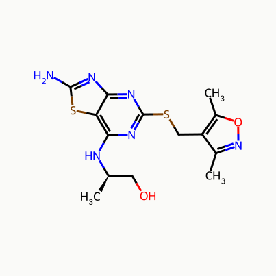 Cc1noc(C)c1CSc1nc(N[C@H](C)CO)c2sc(N)nc2n1